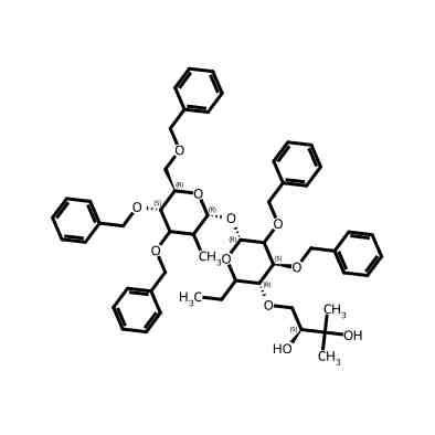 CCC1O[C@H](O[C@H]2O[C@H](COCc3ccccc3)[C@@H](OCc3ccccc3)C(OCc3ccccc3)C2C)C(OCc2ccccc2)[C@@H](OCc2ccccc2)[C@@H]1OC[C@H](O)C(C)(C)O